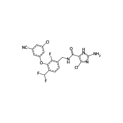 N#Cc1cc(Cl)cc(Oc2c(C(F)F)ccc(CNC(=O)c3[nH]c(N)nc3Cl)c2F)c1